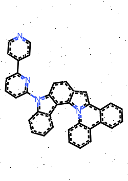 c1cc(-c2ccncc2)nc(-n2c3ccccc3c3c2ccc2cc4c5ccccc5c5ccccc5n4c23)c1